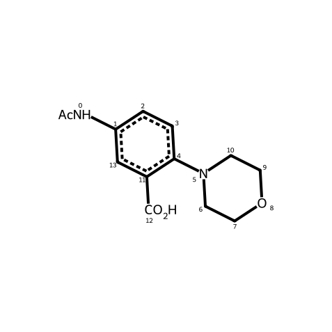 CC(=O)Nc1ccc(N2CCOCC2)c(C(=O)O)c1